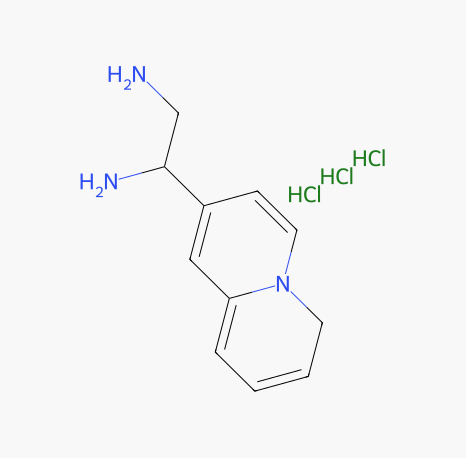 Cl.Cl.Cl.NCC(N)C1=CC2=CC=CCN2C=C1